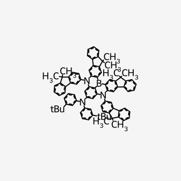 CC(C)(C)c1cccc(N(c2cccc(C(C)(C)C)c2)c2cc3c4c(c2)N(c2ccc5c(c2)-c2ccccc2C5(C)C)c2cc5c(cc2B4c2cc4c(cc2N3c2ccc3c(c2)-c2ccccc2C3(C)C)-c2ccccc2C4(C)C)C(C)(C)c2ccccc2-5)c1